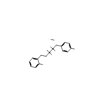 CC(C)(C)C[C@H](c1ccc(O)cc1)C(C)(C)C(C)(C)CCc1ccccc1O